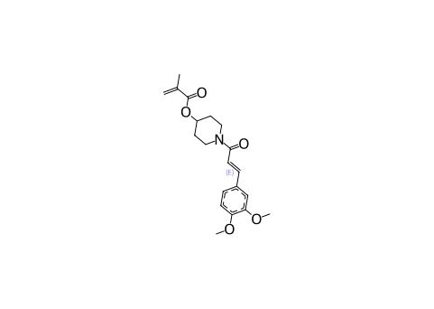 C=C(C)C(=O)OC1CCN(C(=O)/C=C/c2ccc(OC)c(OC)c2)CC1